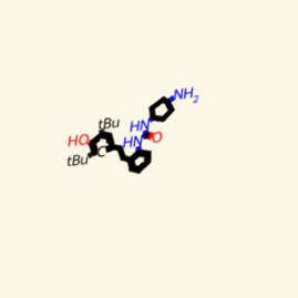 CC(C)(C)c1cc(CCc2ccccc2NC(=O)NC2CCC(N)CC2)cc(C(C)(C)C)c1O